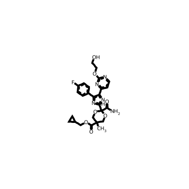 CC1(C(=O)OCC2CC2)COC(C(N)=O)(c2nc(-c3ccc(F)cc3)c(-c3ccnc(OCCO)n3)[nH]2)OC1